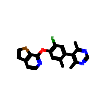 Cc1cc(Oc2nccc3ccsc23)c(F)cc1-c1c(C)ncnc1C